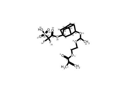 C=C(C)C(=O)OCCOC(C)OC1C2CC3CC1CC(OC(=O)C(F)(F)S(=O)(=O)O)(C3)C2